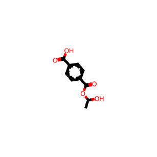 CC(O)OC(=O)c1ccc(C(=O)O)cc1